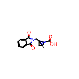 O=C1c2ccccc2C(=O)N1CC12CC(C1)N(C(=O)O)C2